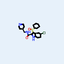 O=C(NCc1ccncc1)c1[nH]c2ccc(Cl)cc2c1[S+]([O-])c1ccccc1